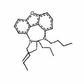 CCCCN(CCCC)c1cccc2oc3cccc(N(CCCC)CCCC)c3c12